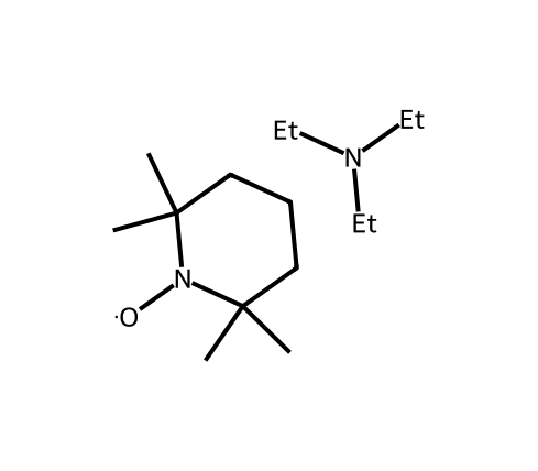 CC1(C)CCCC(C)(C)N1[O].CCN(CC)CC